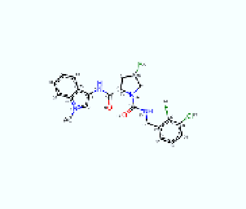 CC(=O)n1cc(NC(=O)[C@@H]2C[C@H](F)CN2C(=O)NCc2cccc(Cl)c2F)c2ccccc21